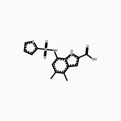 Cc1cc(NS(=O)(=O)c2cccs2)c2[nH]c(C(=O)O)cc2c1C